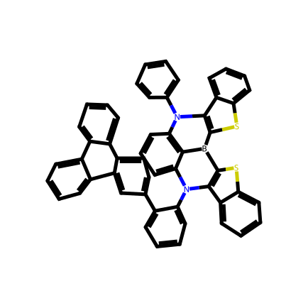 c1ccc(N2c3cccc4c3B(c3sc5ccccc5c32)c2sc3ccccc3c2N4c2ccccc2-c2ccc3c4ccccc4c4ccccc4c3c2)cc1